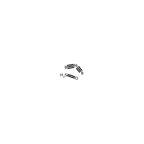 O=[SiH2].[B]#[Ni]#[B]